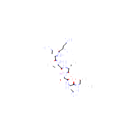 CC(C)C[C@H](NC(=O)[C@@H](CC(C)C)NC(=O)[C@H](CCN)NC(=O)[C@@H](N)CCN)C(=O)N[C@@H](CO)C(=O)N[C@@H](CCN)C(=O)N[C@H](C(=O)O)[C@@H](C)O